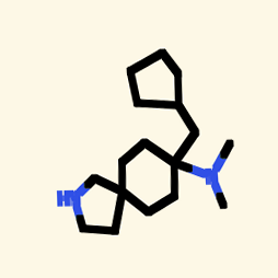 CN(C)C1(CC2CCCC2)CCC2(CCNC2)CC1